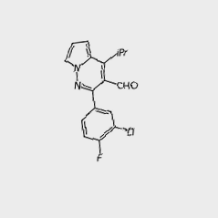 CC(C)c1c(C=O)c(-c2ccc(F)c(Cl)c2)nn2cccc12